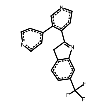 FC(F)(F)c1ccc2c(c1)N=C(c1ccncc1-c1ccncc1)C2